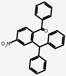 O=C(c1ccccc1)c1ccc([N+](=O)[O-])cc1C(c1ccccc1)c1ccccc1